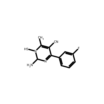 CC1=C(C#N)C(c2cccc(F)c2)=NC(N)N1S